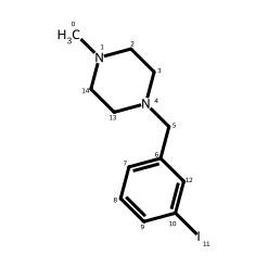 CN1CCN(Cc2cccc(I)c2)CC1